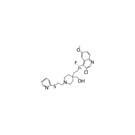 COc1ccc2ncc(Cl)c([C@@H](F)CCC3(CO)CCN(CCSc4ccccn4)CC3)c2c1